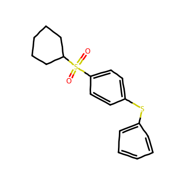 O=S(=O)(c1ccc(Sc2ccccc2)cc1)C1CCCCC1